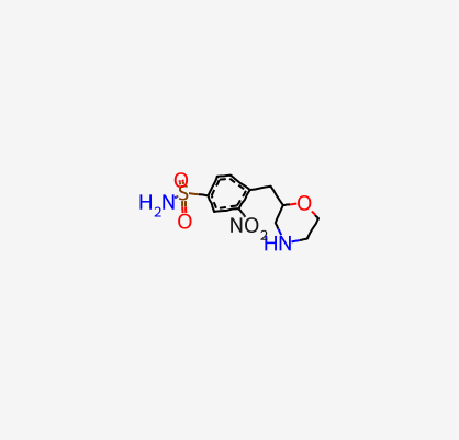 NS(=O)(=O)c1ccc(CC2CNCCO2)c([N+](=O)[O-])c1